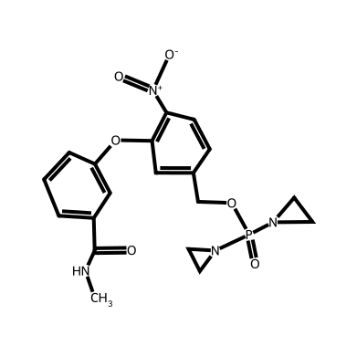 CNC(=O)c1cccc(Oc2cc(COP(=O)(N3CC3)N3CC3)ccc2[N+](=O)[O-])c1